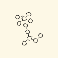 C1=C(c2ccc(-c3ccc(C4=C(c5ccccc5)C(c5ccccc5)NC(c5ccccc5)=C4c4ccccc4)cc3)cc2)NC(c2cccc(-c3ccccc3)c2)N=C1c1ccccc1